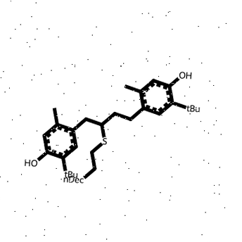 CCCCCCCCCCCCSC(CCc1cc(C(C)(C)C)c(O)cc1C)Cc1cc(C(C)(C)C)c(O)cc1C